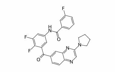 O=C(Nc1cc(F)c(F)c(C(=O)c2ccc3ncc(N4CCCC4)nc3c2)c1)c1cccc(F)c1